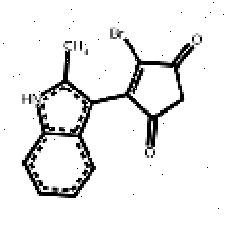 Cc1[nH]c2ccccc2c1C1=C(Br)C(=O)CC1=O